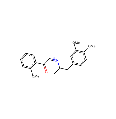 COc1ccc(CC(C)/N=C\C(=O)c2ccccc2OC)cc1OC